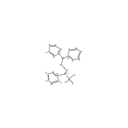 CC(C)(C)P(CCP(c1ccccc1)c1ccccc1)c1ccccc1